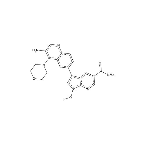 CNC(=O)c1cnc2c(c1)c(-c1ccc3ncc(N)c(N4CCOCC4)c3c1)cn2SI